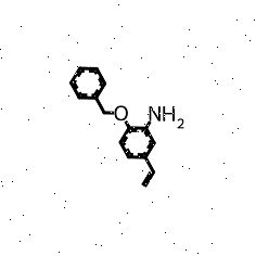 C=Cc1ccc(OCc2ccccc2)c(N)c1